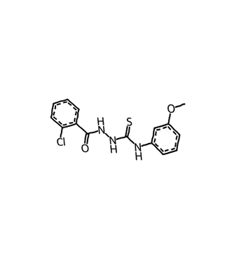 COc1cccc(NC(=S)NNC(=O)c2ccccc2Cl)c1